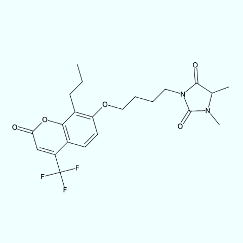 CCCc1c(OCCCCN2C(=O)C(C)N(C)C2=O)ccc2c(C(F)(F)F)cc(=O)oc12